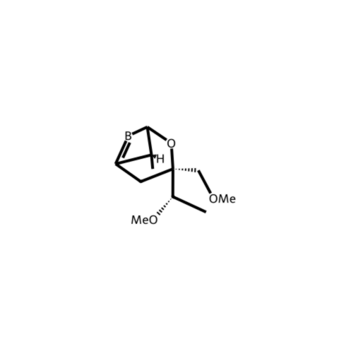 COC[C@]1([C@H](C)OC)CC2=BC(O1)[C@H]2C